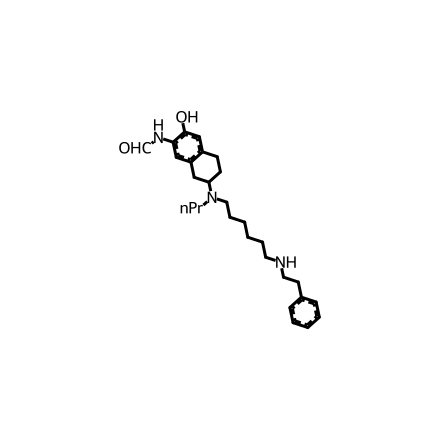 CCCN(CCCCCCNCCc1ccccc1)C1CCc2cc(O)c(NC=O)cc2C1